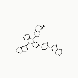 C#Cc1ccc(-c2c3ccccc3c(-c3ccc4c(c3)CCC=C4)c3ccc(-c4ccc(-c5cnc6ccccc6c5)nc4)cc23)cc1/C=C\C